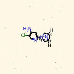 CN1[C@@H]2C[C@H]1CN(c1cc(N)c(Cl)cn1)C2